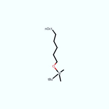 CCCCCCCCCC[CH]CCO[Si](C)(C)C(C)(C)C